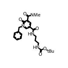 CNC(=O)c1cc(C(=O)NCCCNC(=O)OC(C)(C)C)cn(Cc2ccccc2)c1=O